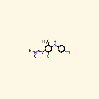 CCN(C)C=Nc1cc(C)c(Nc2ccc(Cl)cc2)cc1Cl